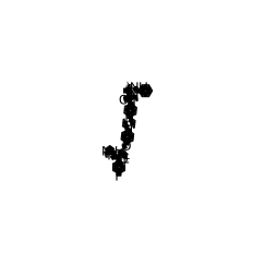 CC([C@H](C)NCc1ccccc1)n1ncn(-c2ccc(N3CCN(c4ccc(OC[C@@H]5CO[C@](Cn6cncn6)(c6ccc(F)cc6F)O5)cc4)CC3)cc2)c1=O